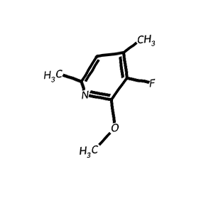 COc1nc(C)cc(C)c1F